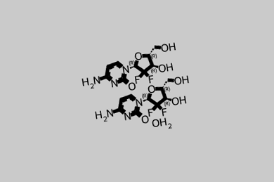 Nc1ccn([C@@H]2O[C@H](CO)[C@@H](O)C2(F)F)c(=O)n1.Nc1ccn([C@@H]2O[C@H](CO)[C@@H](O)C2(F)F)c(=O)n1.O